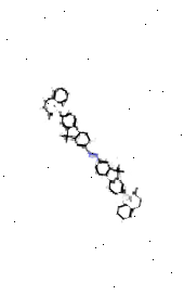 CC1CCc2ccccc2N1C1=CC2C(C=C1)c1ccc(/C=C/c3ccc4c(c3)C(C)(C)c3cc(N5c6ccccc6CCC5C)ccc3-4)cc1C2(C)C